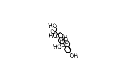 C[C@]12CCC(O)C=C1CC[C@H]1[C@@H]3CC[C@](O)(C(=O)CO)[C@@]3(C)C[C@H](O)[C@@]12F